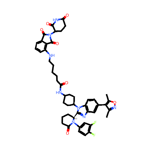 Cc1noc(C)c1-c1ccc2c(c1)nc([C@@H]1CCCC(=O)N1c1ccc(F)c(F)c1)n2C1CCC(NC(=O)CCCCCNc2cccc3c2C(=O)N(C2CCC(=O)NC2=O)C3=O)CC1